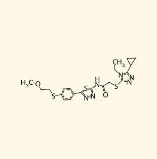 CCn1c(SCC(=O)Nc2nnc(-c3ccc(SCCOC)cc3)s2)nnc1C1CC1